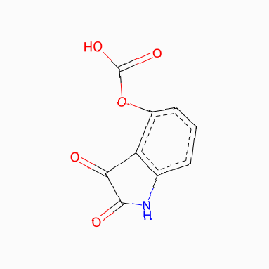 O=C(O)Oc1cccc2c1C(=O)C(=O)N2